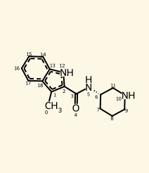 Cc1c(C(=O)N[C@H]2CCCNC2)[nH]c2ccccc12